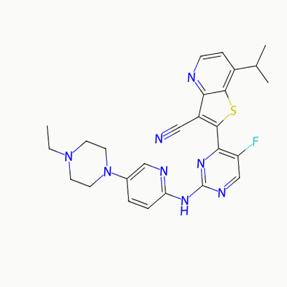 CCN1CCN(c2ccc(Nc3ncc(F)c(-c4sc5c(C(C)C)ccnc5c4C#N)n3)nc2)CC1